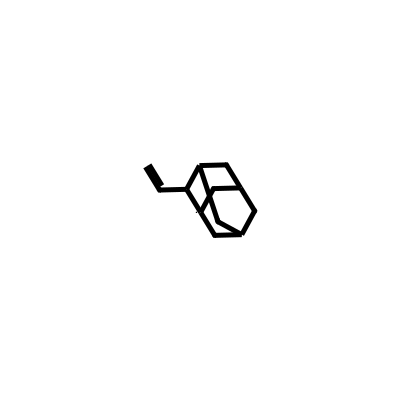 C=CC1[C]2CC3CC(C2)CC1C3